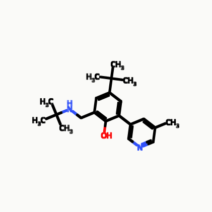 Cc1cncc(-c2cc(C(C)(C)C)cc(CNC(C)(C)C)c2O)c1